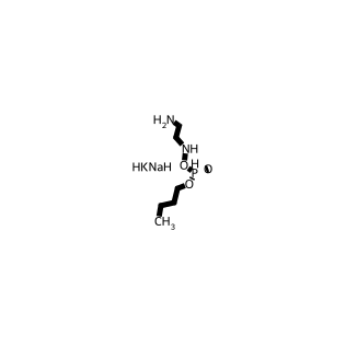 CCCCO[PH](=O)ONCCN.[KH].[NaH]